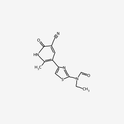 CCN(C=O)c1nc(-c2cc(C#N)c(=O)[nH]c2C)cs1